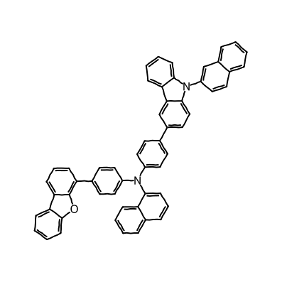 c1ccc2cc(-n3c4ccccc4c4cc(-c5ccc(N(c6ccc(-c7cccc8c7oc7ccccc78)cc6)c6cccc7ccccc67)cc5)ccc43)ccc2c1